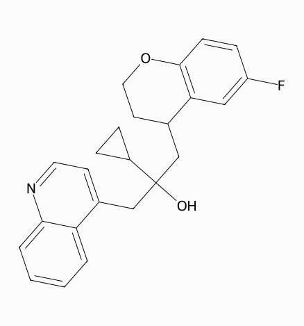 OC(Cc1ccnc2ccccc12)(CC1CCOc2ccc(F)cc21)C1CC1